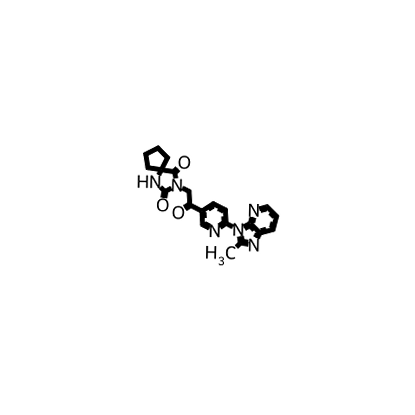 Cc1nc2cccnc2n1-c1ccc(C(=O)CN2C(=O)NC3(CCCC3)C2=O)cn1